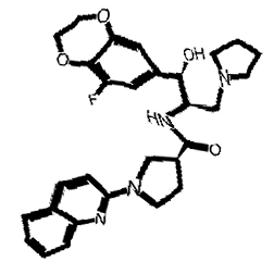 O=C(N[C@H](CN1CCCC1)[C@H](O)c1cc(F)c2c(c1)OCCO2)[C@H]1CCN(c2ccc3ccccc3n2)C1